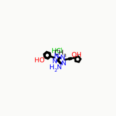 Cl.Cn1c(-c2cccc(O)c2)nc2c(N)nc(C#CC3(O)CCCC3)nc21